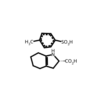 Cc1ccc(S(=O)(=O)O)cc1.O=C(O)[C@@H]1CC2=C(CCCC2)N1